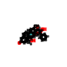 CC1C[C@H]2[C@@H]3CCC4=CC(=O)C=C[C@]4(C)[C@@]3(F)[C@@H](O)C[C@]2(C)[C@]1(OC(=O)c1ccccc1)C(=O)CO